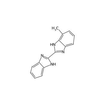 Cc1cccc2nc(-c3nc4ccccc4[nH]3)[nH]c12